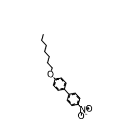 CCCCCCCOc1ccc(-c2ccc([N+](=O)[O-])cc2)cc1